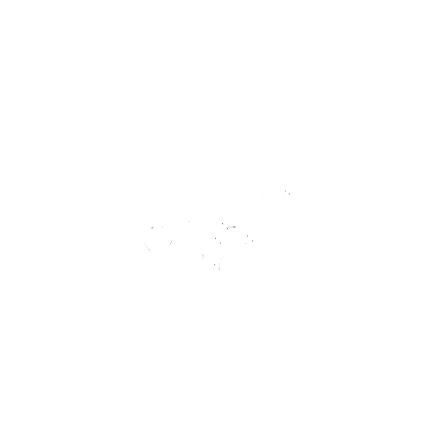 CN1CCC[C@H]1COc1nc(O)c2ncc(C3=CCc4ccccc43)n2n1